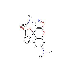 CCCN(CCC)c1ccc2c(c1)Oc1onc(N(C)C)c1C21OC(=O)c2ccccc21